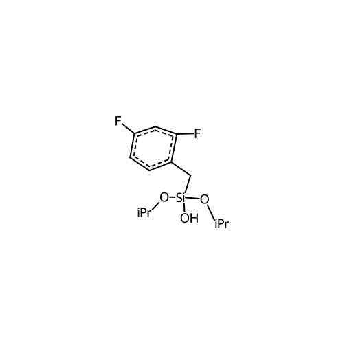 CC(C)O[Si](O)(Cc1ccc(F)cc1F)OC(C)C